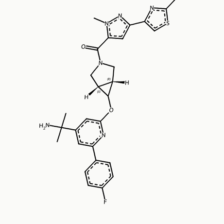 Cc1nc(-c2cc(C(=O)N3C[C@@H]4C(Oc5cc(C(C)(C)N)cc(-c6ccc(F)cc6)n5)[C@@H]4C3)n(C)n2)cs1